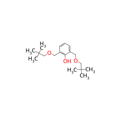 CC(C)(C)COCc1cccc(COCC(C)(C)C)c1O